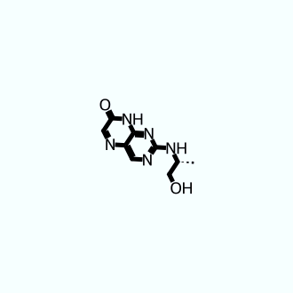 C[C@H](CO)Nc1ncc2ncc(=O)[nH]c2n1